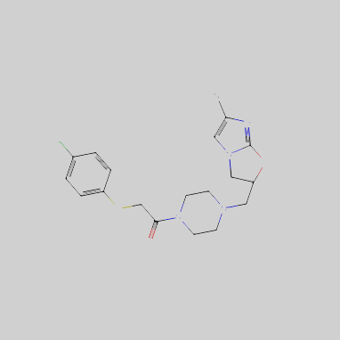 C[C@]1(CN2CCN(C(=O)CSc3ccc(Cl)cc3)CC2)Cn2cc([N+](=O)[O-])nc2O1